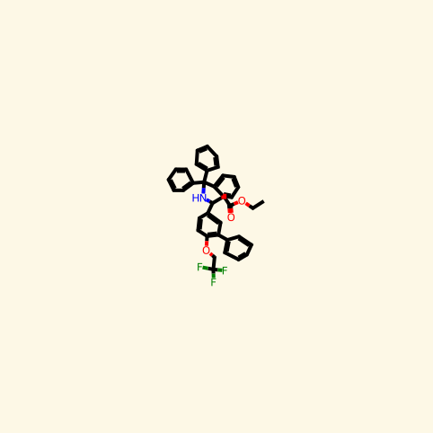 CCOC(=O)CC(NC(c1ccccc1)(c1ccccc1)c1ccccc1)c1ccc(OCC(F)(F)F)c(-c2ccccc2)c1